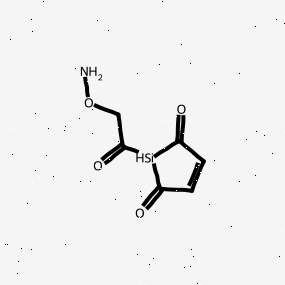 NOCC(=O)[SiH]1C(=O)C=CC1=O